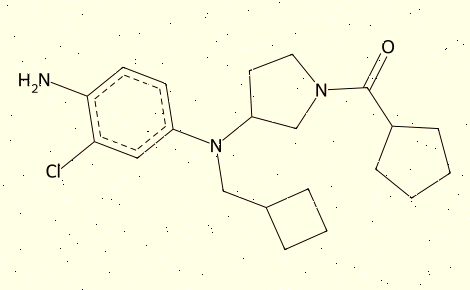 Nc1ccc(N(CC2CCC2)C2CCN(C(=O)C3CCCC3)C2)cc1Cl